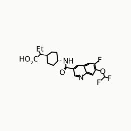 CCC(C(=O)O)[C@H]1CC[C@H](NC(=O)c2cnc3cc(OC(F)F)c(F)cc3c2)CC1